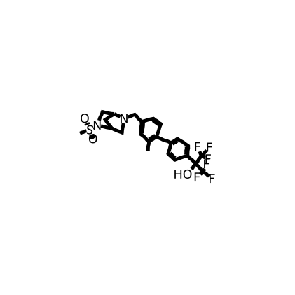 Cc1cc(CN2CC3CC2CN3S(C)(=O)=O)ccc1-c1ccc(C(O)(C(F)(F)F)C(F)(F)F)cc1